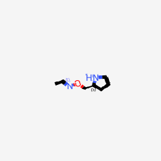 C/C=N/OC[C@@H]1CCCN1